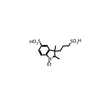 CC[N+]1=C(C)C(C)(CCCS(=O)(=O)O)c2cc(S(=O)(=O)O)ccc21